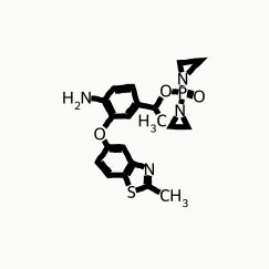 Cc1nc2cc(Oc3cc(C(C)OP(=O)(N4CC4)N4CC4)ccc3N)ccc2s1